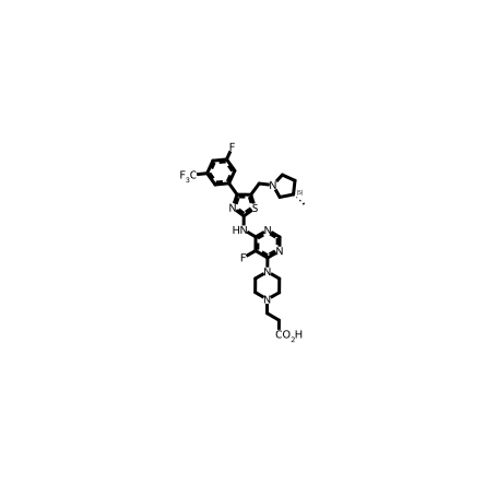 C[C@H]1CCN(Cc2sc(Nc3ncnc(N4CCN(CCC(=O)O)CC4)c3F)nc2-c2cc(F)cc(C(F)(F)F)c2)C1